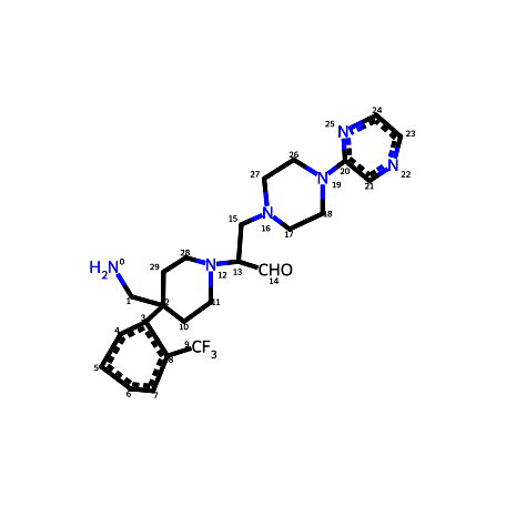 NCC1(c2ccccc2C(F)(F)F)CCN(C(C=O)CN2CCN(c3cnccn3)CC2)CC1